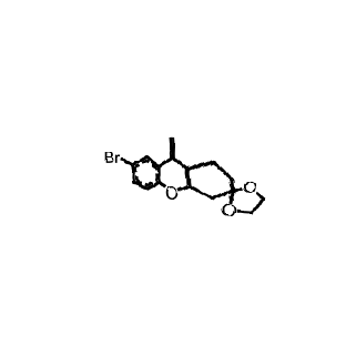 C=C1c2cc(Br)ccc2OC2CC3(CCC12)OCCO3